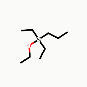 CCC[Si](CC)(CC)OCC